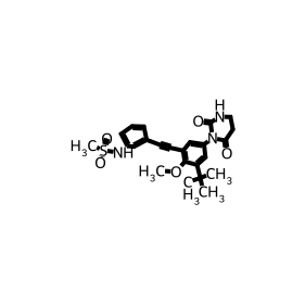 COc1c(C#Cc2cccc(NS(C)(=O)=O)c2)cc(N2C(=O)CCNC2=O)cc1C(C)(C)C